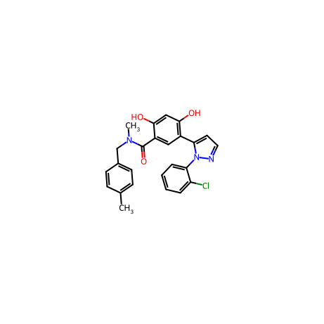 Cc1ccc(CN(C)C(=O)c2cc(-c3ccnn3-c3ccccc3Cl)c(O)cc2O)cc1